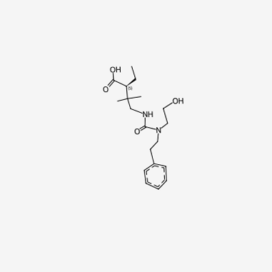 CC[C@H](C(=O)O)C(C)(C)CNC(=O)N(CCO)CCc1ccccc1